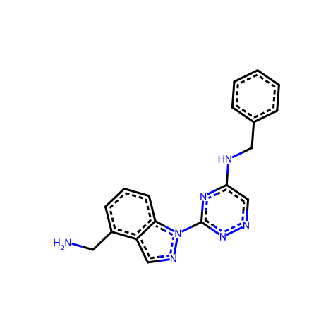 NCc1cccc2c1cnn2-c1nncc(NCc2ccccc2)n1